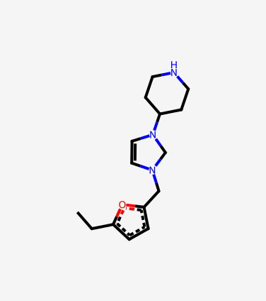 CCc1ccc(CN2C=CN(C3CCNCC3)C2)o1